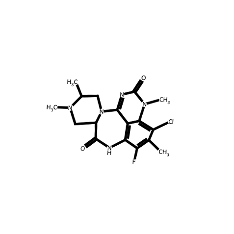 Cc1c(F)c2c3c(nc(=O)n(C)c3c1Cl)N1CC(C)N(C)CC1C(=O)N2